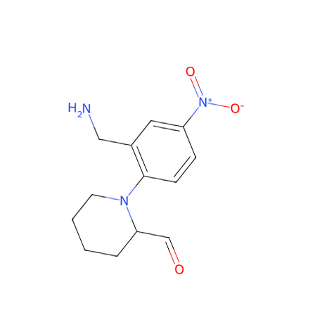 NCc1cc([N+](=O)[O-])ccc1N1CCCCC1C=O